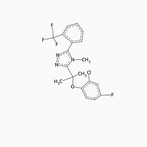 Cn1c(-c2ccccc2C(F)(F)F)nnc1C(C)(C)Oc1ccc(F)cc1Cl